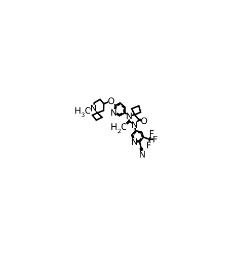 C=C1N(c2cnc(C#N)c(C(F)(F)F)c2)C(=O)C2(CCC2)N1c1ccc(OC2CCN(C)C3(CCC3)C2)nc1